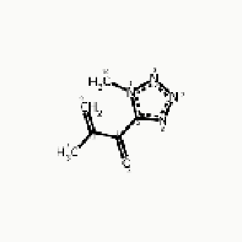 C=C(C)C(=O)c1nnnn1C